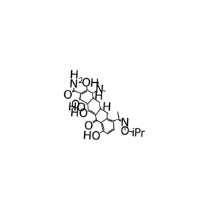 C/C(=N/OC(C)C)c1ccc(O)c2c1C[C@@H]1C[C@@H]3C(N(C)C)C(O)=C(C(N)=O)C(=O)[C@]3(O)C(O)=C1C2=O